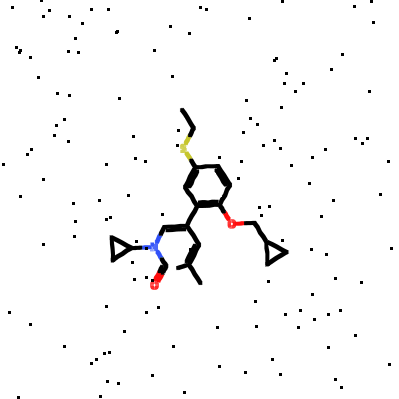 CCSc1ccc(OCC2CC2)c(/C(C=C(C)C)=C/N(C=O)C2CC2)c1